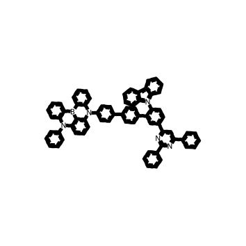 c1ccc(-c2cc(-c3ccc(-n4c5ccccc5c5ccccc54)c(-c4ccc(-c5ccc(N6c7ccccc7B7c8ccccc8N(c8ccccc8)c8cccc6c87)cc5)cc4)c3)nc(-c3ccccc3)n2)cc1